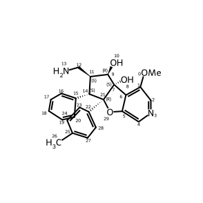 COc1cncc2c1[C@]1(O)[C@H](O)[C@H](CN)[C@@H](c3ccccc3)[C@]1(c1ccc(C)cc1)O2